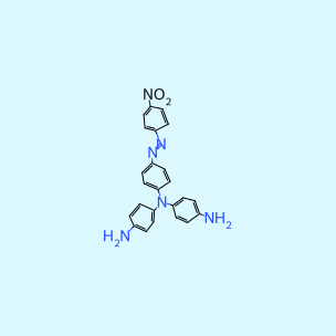 Nc1ccc(N(c2ccc(N)cc2)c2ccc(/N=N/c3ccc([N+](=O)[O-])cc3)cc2)cc1